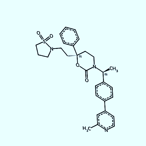 Cc1cc(-c2ccc([C@H](C)N3CC[C@](CCN4CCCS4(=O)=O)(c4ccccc4)OC3=O)cc2)ccn1